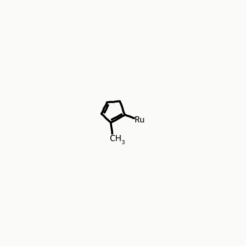 CC1=[C]([Ru])CC=C1